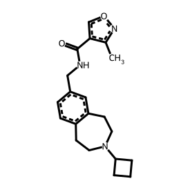 Cc1nocc1C(=O)NCc1ccc2c(c1)CCN(C1CCC1)CC2